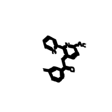 CC(=O)c1ccc(CC(=O)c2cccc(C)c2)c(-c2ccccn2)n1